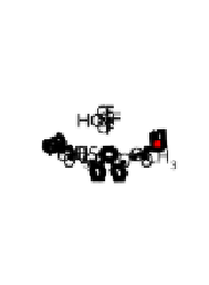 CC1(CC(=O)OCOc2ccccc2-c2cccc(S)c2-c2ccccc2OCOC(=O)CC2(C)C3CC4CC(C3)CC2C4)C2CC3CC(C2)CC1C3.O=S(=O)(O)C(F)(F)F